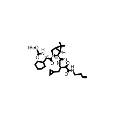 C=CCCNC(=O)C(=O)C(CC1CC1)NC(=O)[C@@H]1[C@@H]2C(CN1C(=O)[C@@H](NC(=O)OC(C)(C)C)C1CCCCC1)C2(C)C